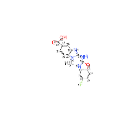 Cn1c(Nc2nc3cc(F)ccc3o2)nc2cc(C(=O)O)ccc21